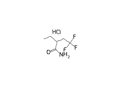 CCC(CC(F)(F)F)C(N)=O.Cl